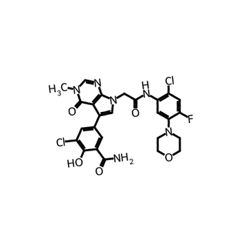 Cn1cnc2c(c(-c3cc(Cl)c(O)c(C(N)=O)c3)cn2CC(=O)Nc2cc(N3CCOCC3)c(F)cc2Cl)c1=O